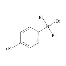 CCCc1ccc([N+](CC)(CC)CC)cc1